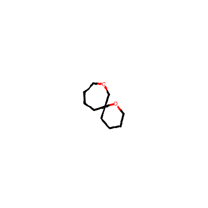 C1CCC2(CCCCO2)COC1